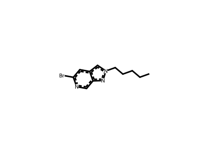 CCCCCn1cc2cc(Br)ncc2n1